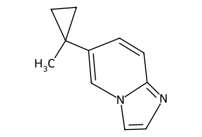 CC1(c2ccc3nccn3c2)CC1